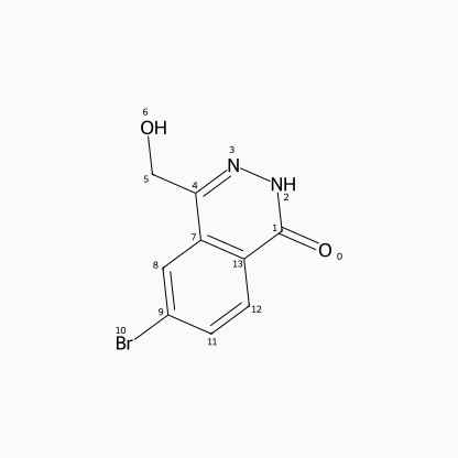 O=c1[nH]nc(CO)c2cc(Br)ccc12